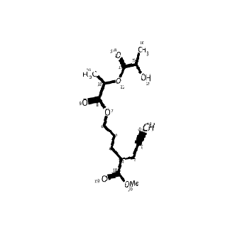 C#CC[C@H](CCCOC(=O)C(C)OC(=O)C(C)O)C(=O)OC